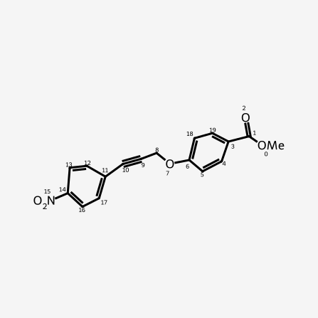 COC(=O)c1ccc(OCC#Cc2ccc([N+](=O)[O-])cc2)cc1